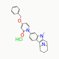 CN1C2CCCC1c1c(n(C)c3cc(-n4ccc(OCc5ccccc5)cc4=O)ccc13)C2.Cl